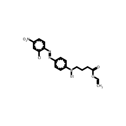 C=COC(=O)CCCN(CC)c1ccc(N=Nc2ccc([N+](=O)[O-])cc2Cl)cc1